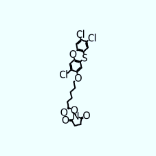 O=C(CCCCCOc1cc2c(cc1Cl)Oc1cc(Cl)c(Cl)cc1S2)ON1C(=O)CCC1=O